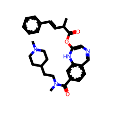 CC(C=Cc1ccccc1)C(=O)OC1=CN=Cc2ccc(C(=O)N(C)CCC3CCN(C)CC3)cc2N1